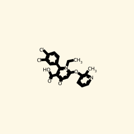 CCn1c(Oc2cccnc2C)cc(=O)c(C(=O)O)c1-c1ccc(Cl)c(Cl)c1